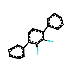 Fc1c(-c2ccccc2)ccc(-c2ccccc2)c1F